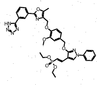 CCOP(=O)(/C=C/c1cn(-c2ccccc2)nc1OCc1ccc(OCc2nc(-c3cccc(-c4nnn[nH]4)c3)oc2C)c(OC)c1)OCC